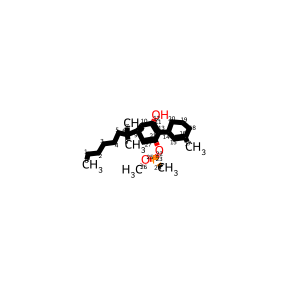 CCCCCCC(C)(C)c1cc(O)c(C2C=C(C)CCC2)c(OP(C)OC)c1